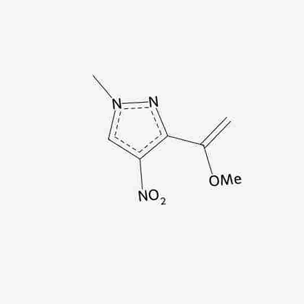 C=C(OC)c1nn(C)cc1[N+](=O)[O-]